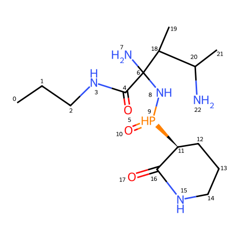 CCCNC(=O)C(N)(N[PH](=O)[C@H]1CCCNC1=O)C(C)C(C)N